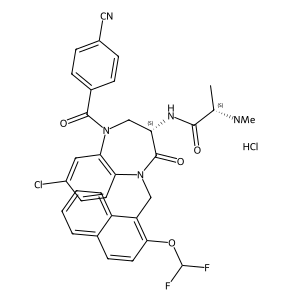 CN[C@@H](C)C(=O)N[C@H]1CN(C(=O)c2ccc(C#N)cc2)c2cc(Cl)ccc2N(Cc2c(OC(F)F)ccc3ccccc23)C1=O.Cl